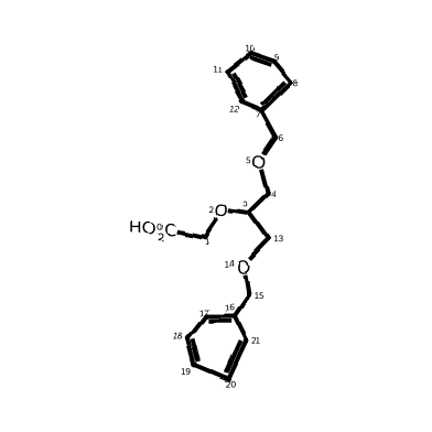 O=C(O)COC(COCc1ccccc1)COCc1ccccc1